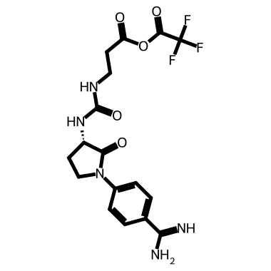 N=C(N)c1ccc(N2CC[C@H](NC(=O)NCCC(=O)OC(=O)C(F)(F)F)C2=O)cc1